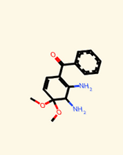 COC1(OC)C=CC(C(=O)c2ccccc2)=C(N)C1N